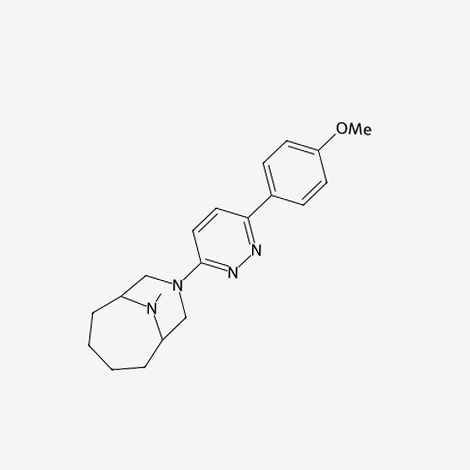 COc1ccc(-c2ccc(N3CC4CCCCC(C3)N4C)nn2)cc1